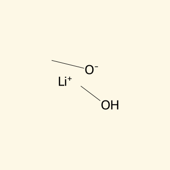 CO.C[O-].[Li+]